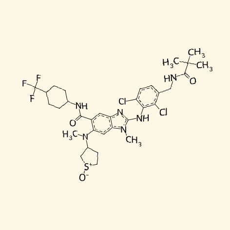 CN(c1cc2c(cc1C(=O)NC1CCC(C(F)(F)F)CC1)nc(Nc1c(Cl)ccc(CNC(=O)C(C)(C)C)c1Cl)n2C)C1CC[S+]([O-])C1